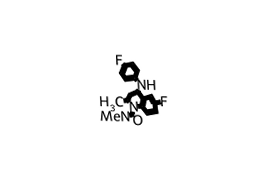 CNC(=O)N1c2ccc(F)cc2C(Nc2ccc(F)cc2)CC1C